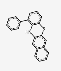 c1ccc(-c2cccc3c2Nc2cc4ccccc4cc2S3)cc1